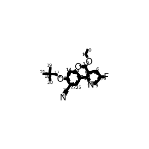 CCOC(=O)c1cc(F)cnc1-c1ccc(OCC(C)(C)C)c(C#N)c1